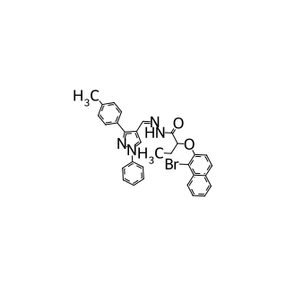 CCC(Oc1ccc2ccccc2c1Br)C(=O)N/N=C\c1cn(-c2ccccc2)nc1-c1ccc(C)cc1